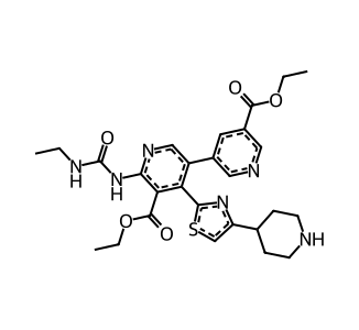 CCNC(=O)Nc1ncc(-c2cncc(C(=O)OCC)c2)c(-c2nc(C3CCNCC3)cs2)c1C(=O)OCC